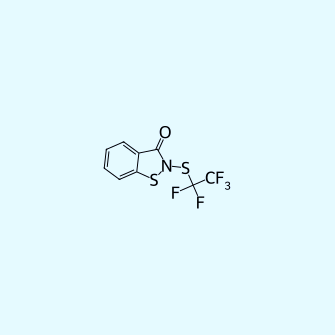 O=c1c2ccccc2sn1SC(F)(F)C(F)(F)F